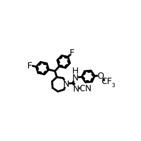 N#CN=C(Nc1ccc(OC(F)(F)F)cc1)N1CCCCC(C(c2ccc(F)cc2)c2ccc(F)cc2)C1